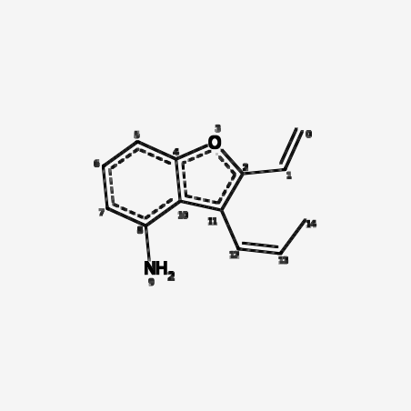 C=Cc1oc2cccc(N)c2c1/C=C\C